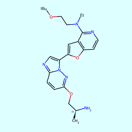 CCN(CCOC(C)(C)C)c1nccc2oc(-c3cnc4ccc(OC[C@H](C)N)nn34)cc12